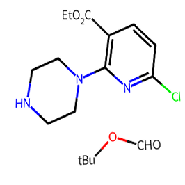 CC(C)(C)OC=O.CCOC(=O)c1ccc(Cl)nc1N1CCNCC1